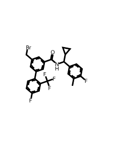 Cc1cc(C(NC(=O)c2cc(CBr)cc(-c3ccc(F)cc3C(F)(F)F)c2)C2CC2)ccc1F